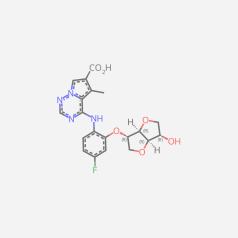 Cc1c(C(=O)O)cn2ncnc(Nc3ccc(F)cc3O[C@@H]3CO[C@H]4[C@@H]3OC[C@H]4O)c12